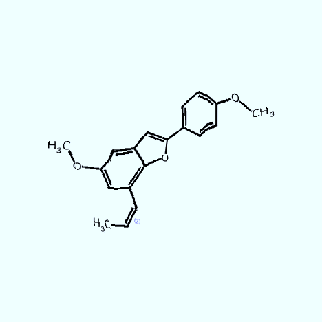 C/C=C\c1cc(OC)cc2cc(-c3ccc(OC)cc3)oc12